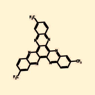 FC(F)(F)c1ccc2nc3c4nc5cc(C(F)(F)F)ccc5nc4c4nc5cc(C(F)(F)F)ccc5nc4c3nc2c1